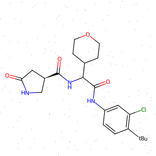 CC(C)(C)c1ccc(NC(=O)C(NC(=O)[C@H]2CNC(=O)C2)C2CCOCC2)cc1Cl